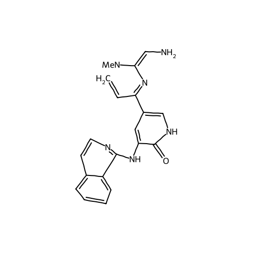 C=C/C(=N\C(=C/N)NC)c1c[nH]c(=O)c(Nc2nccc3ccccc23)c1